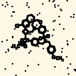 COc1ccc(CN(Cc2ccc(OC)cc2)S(=O)(=O)c2ccc3c(c2)N(C[C@@H]2CCC2COC(C)=O)C[C@@]2(CCCc4cc(Cl)ccc42)CO3)cc1